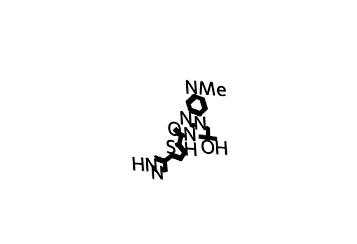 CNc1ccc2c(c1)nc(NC(=O)c1ccc(-c3cn[nH]c3)s1)n2CC(C)(C)O